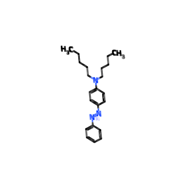 CCCCCN(CCCCC)c1ccc(/N=N/c2ccccc2)cc1